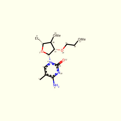 CC[C@H]1O[C@@H](n2cc(C)c(N)nc2=O)[C@@H](OCCOC)C1OC